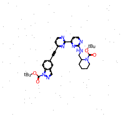 CC(C)(C)OC(=O)N1CCCCC1CNc1nccc(-c2nccc(C#Cc3ccc4c(cnn4C(=O)OC(C)(C)C)c3)n2)n1